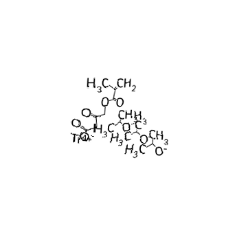 C=C(C)C(=O)OCC(=O)CC(=O)[O-].CC(C)[O-].CC(C)[O-].CC(C)[O-].[Ti+4]